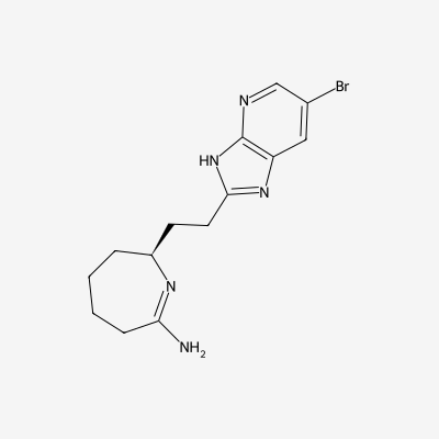 NC1=N[C@H](CCc2nc3cc(Br)cnc3[nH]2)CCCC1